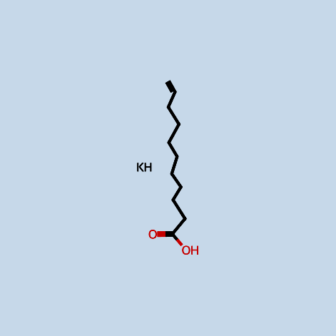 C=CCCCCCCCCC(=O)O.[KH]